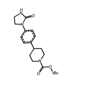 CC(C)(C)OC(=O)N1CCC(c2ccc(N3CCNC3=O)cc2)CC1